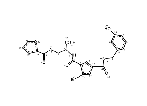 O=C(NCC(NC(=O)c1sc(C(=O)NCc2cccc(O)c2)cc1Br)C(=O)O)c1cccs1